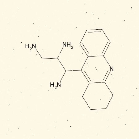 NCC(N)C(N)c1c2c(nc3ccccc13)CCCC2